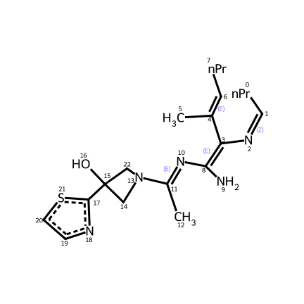 CCC\C=N/C(C(/C)=C/CCC)=C(N)/N=C(\C)N1CC(O)(c2nccs2)C1